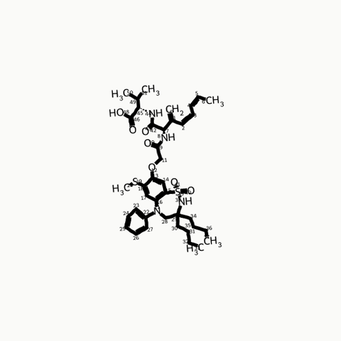 C=C(/C=C\C=C/C)[C@@H](NC(=O)COc1cc2c(cc1SC)N(c1ccccc1)CC(CCCC)(CCCC)NS2(=O)=O)C(=O)N[C@H](C(=O)O)C(C)C